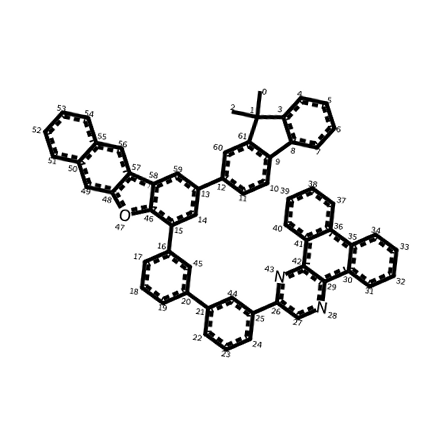 CC1(C)c2ccccc2-c2ccc(-c3cc(-c4cccc(-c5cccc(-c6cnc7c8ccccc8c8ccccc8c7n6)c5)c4)c4oc5cc6ccccc6cc5c4c3)cc21